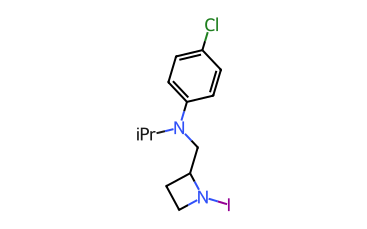 CC(C)N(CC1CCN1I)c1ccc(Cl)cc1